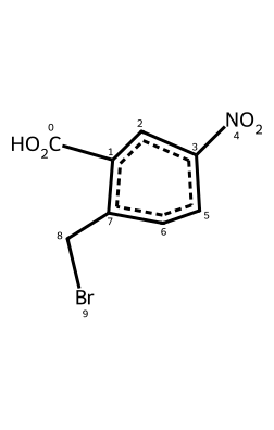 O=C(O)c1cc([N+](=O)[O-])ccc1CBr